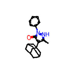 Cc1[nH]n(-c2ccccc2)c(=O)c1C12CC3CC(CC(C3)C1)C2